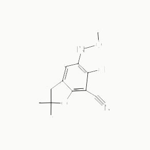 CONc1cc2c(c(C#N)c1Cl)OC(C)(C)C2